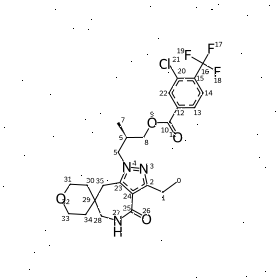 CCc1nn(C[C@@H](C)COC(=O)c2ccc(C(F)(F)F)c(Cl)c2)c2c1C(=O)NCC1(CCOCC1)C2